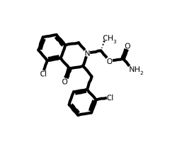 C[C@H](OC(N)=O)N1Cc2cccc(Cl)c2C(=O)C1Cc1ccccc1Cl